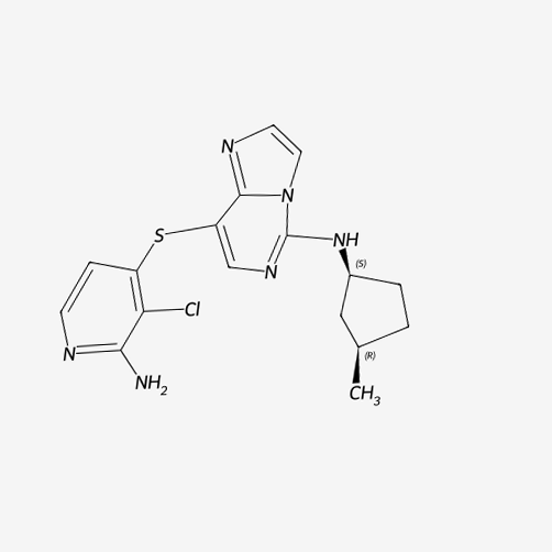 C[C@@H]1CC[C@H](Nc2ncc(Sc3ccnc(N)c3Cl)c3nccn23)C1